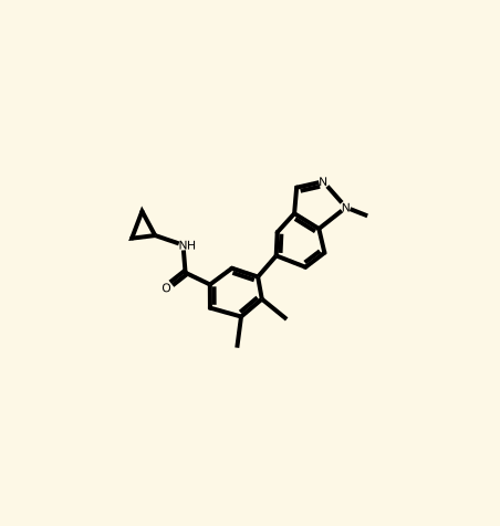 Cc1cc(C(=O)NC2CC2)cc(-c2ccc3c(cnn3C)c2)c1C